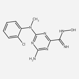 CN(c1nc(N)nc(C(=N)NO)n1)c1ccccc1Cl